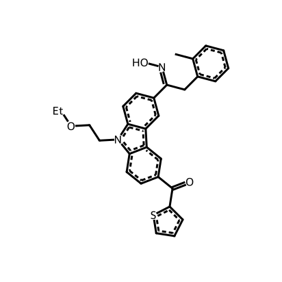 CCOCCn1c2ccc(C(=O)c3cccs3)cc2c2cc(C(Cc3ccccc3C)=NO)ccc21